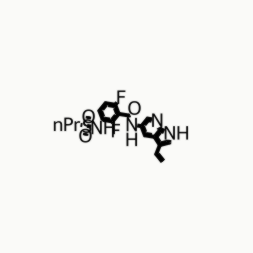 C=Cc1c[nH]c2ncc(NC(=O)c3c(F)ccc(NS(=O)(=O)CCC)c3F)cc12